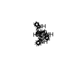 O=C[C@H](Cc1c[nH]c2ccccc12)NN(N[C@H](C=O)Cc1c[nH]c2ccccc12)[C@H](C=O)Cc1c[nH]c2ccccc12